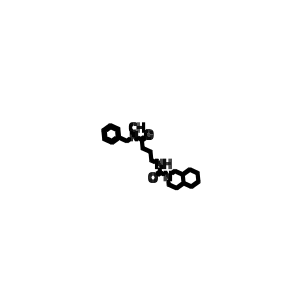 CN(Cc1ccccc1)C(=O)CCCNC(=O)N1CCC2CCCCC2C1